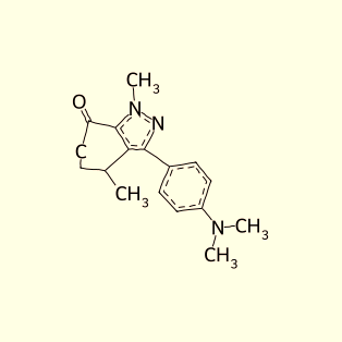 CC1CCC(=O)c2c1c(-c1ccc(N(C)C)cc1)nn2C